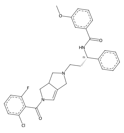 COc1cccc(C(=O)N[C@@H](CCN2CC3=CN(C(=O)c4c(F)cccc4Cl)CC3C2)c2ccccc2)c1